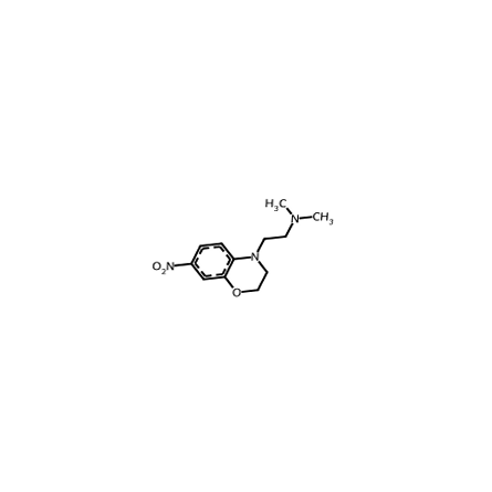 CN(C)CCN1CCOc2cc([N+](=O)[O-])ccc21